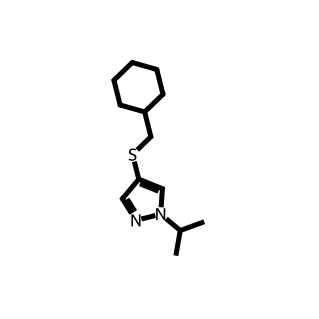 CC(C)n1cc(SCC2CCCCC2)cn1